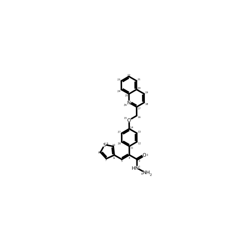 NNC(=O)/C(=C/c1ccsc1)c1ccc(OCc2ccc3ccccc3n2)cc1